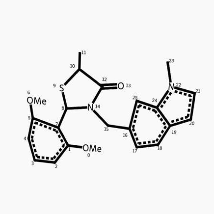 COc1cccc(OC)c1C1SC(C)C(=O)N1Cc1ccc2ccn(C)c2c1